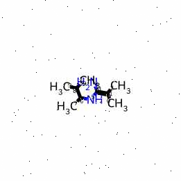 CC(C)=C(N)NC(C)C(C)C